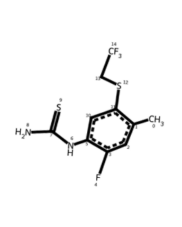 Cc1cc(F)c(NC(N)=S)cc1SCC(F)(F)F